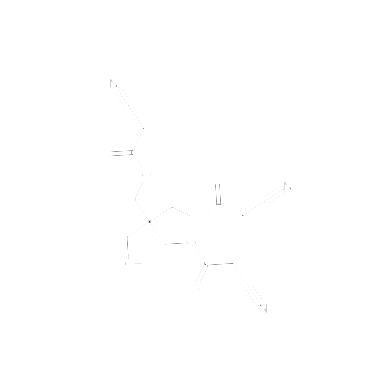 CCC(COC(=O)CC#N)(COC(=O)CC#N)COC(=O)CC#N